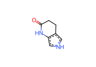 O=C1CCc2c[nH]cc2N1